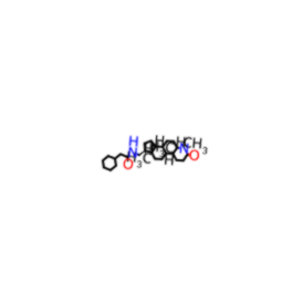 CN1C(=O)CC[C@]2(C)[C@H]3CC[C@]4(C)[C@@H](CNC(=O)CC5CCCCC5)CC[C@H]4[C@@H]3CC[C@@H]12